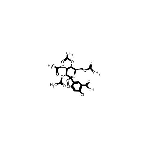 COC1(c2ccc(Cl)c(C(=O)O)c2)O[C@H](COC(C)=O)[C@@H](OC(C)=O)[C@H](OC(C)=O)[C@H]1OC(C)=O